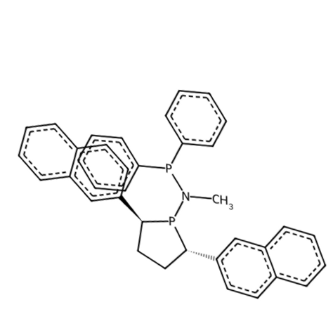 CN(P(c1ccccc1)c1ccccc1)P1[C@H](c2ccc3ccccc3c2)CC[C@H]1c1ccc2ccccc2c1